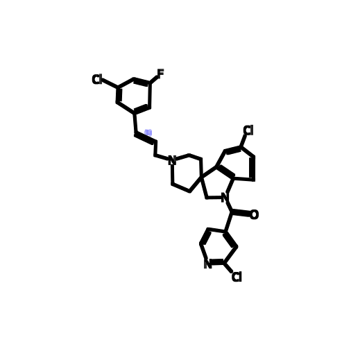 O=C(c1ccnc(Cl)c1)N1CC2(CCN(C/C=C/c3cc(F)cc(Cl)c3)CC2)c2cc(Cl)ccc21